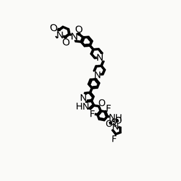 CN1C(=O)CCC(N2Cc3cc(C4CCN(CC5CCN(c6ccc(-c7cnc8[nH]cc(C(=O)c9c(F)ccc(NS(=O)(=O)N%10CC[C@@H](F)C%10)c9F)c8c7)cc6)CC5)CC4)ccc3C2=O)C1=O